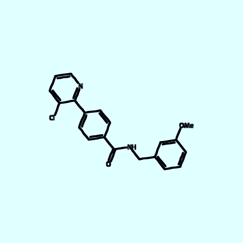 COc1cccc(CNC(=O)c2ccc(-c3ncccc3Cl)cc2)c1